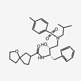 Cc1ccc(S(=O)(=O)N(CC(C)C)C[C@@H](O)[C@H](Cc2ccccc2)NC(=O)C2CCC3(CCCO3)C2)cc1